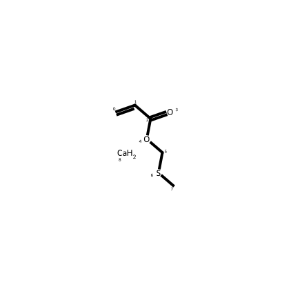 C=CC(=O)OCSC.[CaH2]